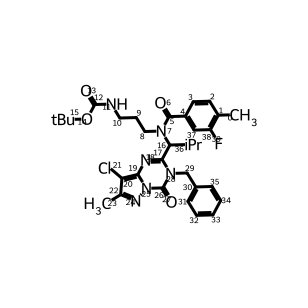 Cc1ccc(C(=O)N(CCCNC(=O)OC(C)(C)C)C(c2nc3c(Cl)c(C)nn3c(=O)n2Cc2ccccc2)C(C)C)cc1F